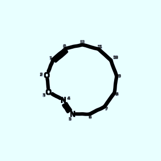 C1=C\OO/N=N/CCCCCCC/1